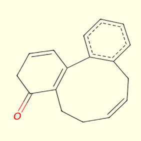 O=C1CC=CC2=C1CCC=CCc1ccccc12